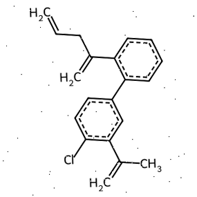 C=CCC(=C)c1ccccc1-c1ccc(Cl)c(C(=C)C)c1